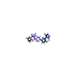 C=NN(C(=O)N1CCN(c2ccc(F)c(-c3c(C)cnn3C)n2)CC1)[C@@H](CC)c1cc(F)cc(F)c1